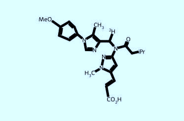 [2H]C(c1ncn(-c2ccc(OC)cc2)c1C)N(C(=O)CC(C)C)c1cc(C=CC(=O)O)n(C)n1